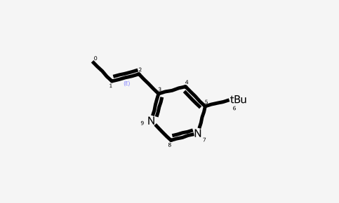 C/C=C/c1cc(C(C)(C)C)ncn1